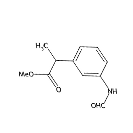 COC(=O)C(C)c1cccc(NC=O)c1